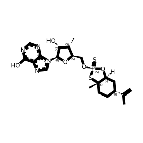 C=C(C)[C@@H]1CC[C@]2(C)S[P@@](=S)(OC[C@H]3O[C@@H](n4cnc5c(O)ncnc54)[C@H](O)[C@@H]3C)O[C@H]2C1